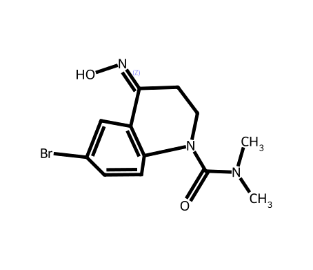 CN(C)C(=O)N1CC/C(=N/O)c2cc(Br)ccc21